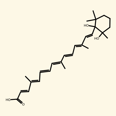 CC(/C=C/C=C(C)/C=C/C1(O)C(C)(C)CCCC1(C)O)=C\C=C\C=C(C)\C=C\C(=O)O